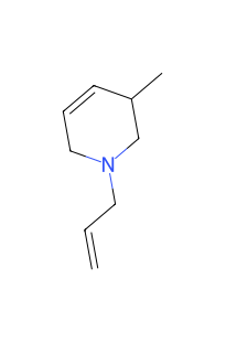 C=CCN1CC=CC(C)C1